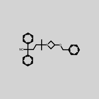 CC(C)(CCC(C#N)(c1ccccc1)c1ccccc1)N1CC(OCc2ccccc2)C1